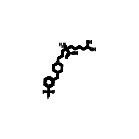 NC(CCCCB(O)O)(CCCN1CCN(Cc2cccc(C(F)(F)F)c2)CC1)C(=O)O